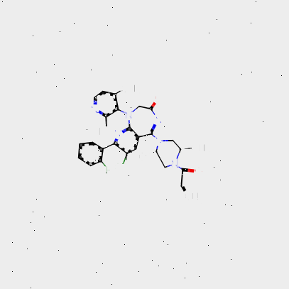 C=CC(=O)N1C[C@H](C)N(C2=NC(=O)CN(c3c(C)ccnc3C(C)C)c3nc(-c4ccccc4F)c(Cl)cc32)C[C@H]1C